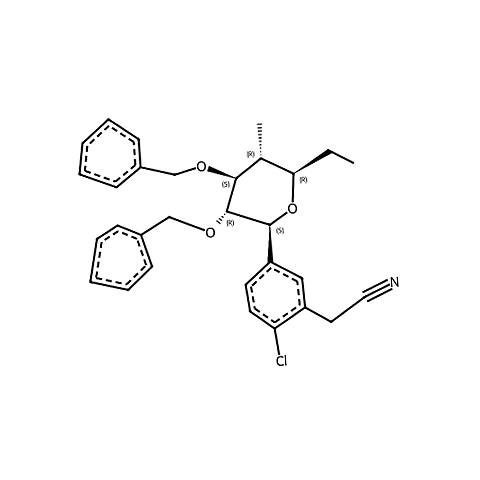 CC[C@H]1O[C@@H](c2ccc(Cl)c(CC#N)c2)[C@H](OCc2ccccc2)[C@@H](OCc2ccccc2)[C@@H]1C